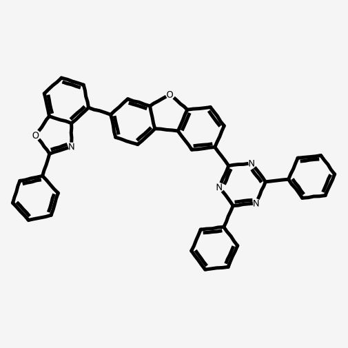 c1ccc(-c2nc(-c3ccccc3)nc(-c3ccc4oc5cc(-c6cccc7oc(-c8ccccc8)nc67)ccc5c4c3)n2)cc1